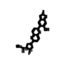 Cn1cc2cc(-c3ccc4nc(N5C[C@@H](F)[C@H](NC(C)(C)C)C5)ccc4n3)c(O)cc2n1